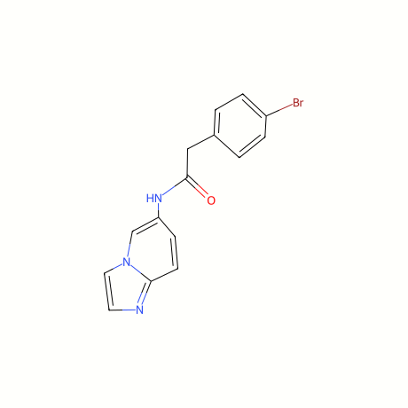 O=C(Cc1ccc(Br)cc1)Nc1ccc2nccn2c1